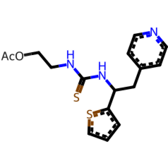 CC(=O)OCCNC(=S)NC(Cc1ccncc1)c1cccs1